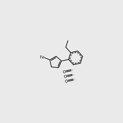 CCc1ccccc1C1=CC[C]([Fe])=C1.[C]=O.[C]=O.[C]=O